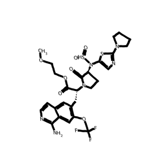 COCCOC(=O)[C@@H](Cc1cc2ccnc(N)c2cc1OC(F)(F)F)N1CC[C@H](N(c2cnc(N3CCCC3)s2)[SH](=O)=O)C1=O